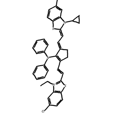 CC[n+]1c(C=CC2=C(N(c3ccccc3)c3ccccc3)C(=C/C=C3\Sc4ccc(Cl)cc4N3C3CC3)CC2)sc2ccc(Cl)cc21